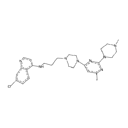 Cc1cc(N2CCN(CCCNc3ccnc4cc(Cl)ccc34)CC2)nc(N2CCN(C)CC2)n1